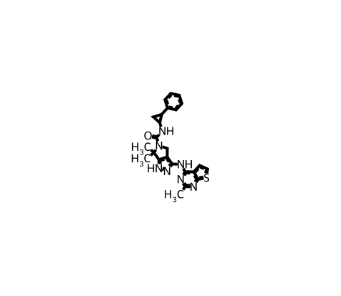 Cc1nc(Nc2n[nH]c3c2CN(C(=O)NC2CC2c2ccccc2)C3(C)C)c2ccsc2n1